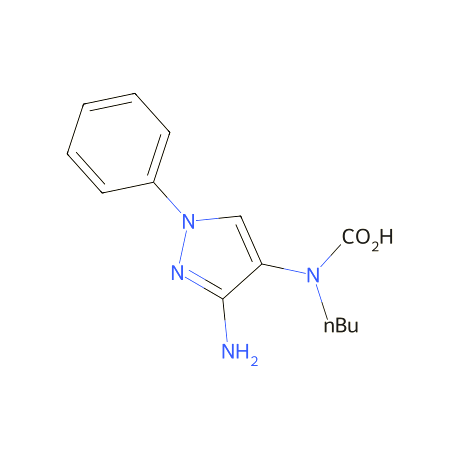 CCCCN(C(=O)O)c1cn(-c2ccccc2)nc1N